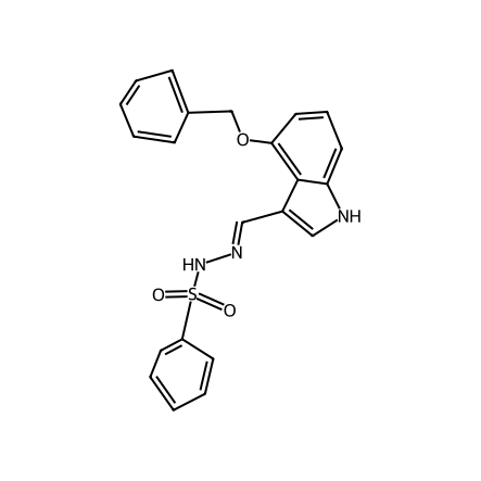 O=S(=O)(NN=Cc1c[nH]c2cccc(OCc3ccccc3)c12)c1ccccc1